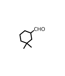 CC1(C)CCCC(C=O)C1